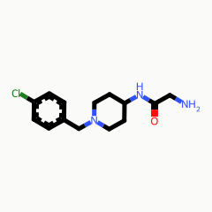 NCC(=O)NC1CCN(Cc2ccc(Cl)cc2)CC1